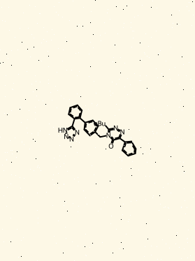 CCCCc1nnc(-c2ccccc2)c(=O)n1Cc1ccc(-c2ccccc2-c2nnn[nH]2)cc1